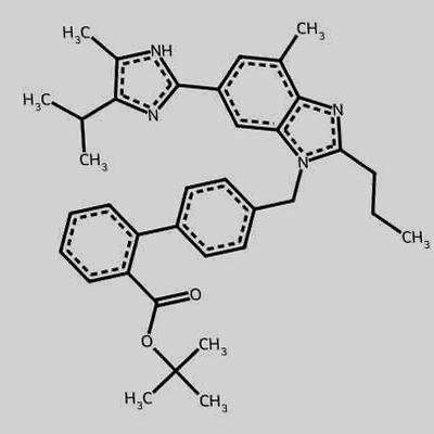 CCCc1nc2c(C)cc(-c3nc(C(C)C)c(C)[nH]3)cc2n1Cc1ccc(-c2ccccc2C(=O)OC(C)(C)C)cc1